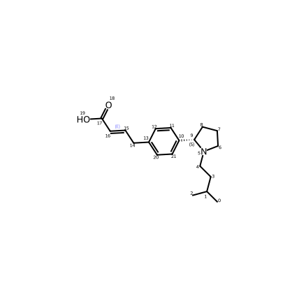 CC(C)CCN1CCC[C@H]1c1ccc(C/C=C/C(=O)O)cc1